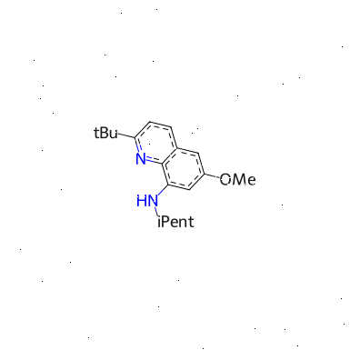 [CH2]CCC(C)Nc1cc(OC)cc2ccc(C(C)(C)C)nc12